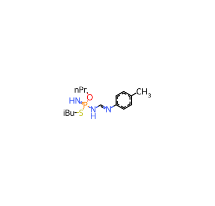 CCCOP(=N)(NC=Nc1ccc(C)cc1)SC(C)CC